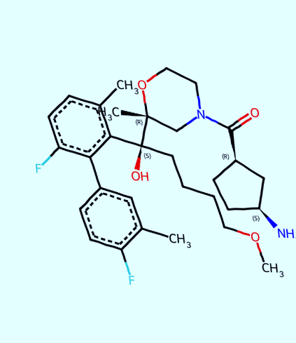 COCCCC[C@](O)(c1c(C)ccc(F)c1-c1ccc(F)c(C)c1)[C@@]1(C)CN(C(=O)[C@@H]2CC[C@H](N)C2)CCO1